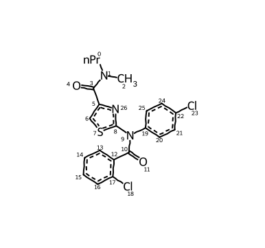 CCCN(C)C(=O)c1csc(N(C(=O)c2ccccc2Cl)c2ccc(Cl)cc2)n1